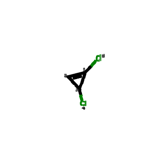 ClC1=CC1Cl